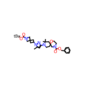 Cc1cc(N2CCC3(CN(C(=O)OCc4ccccc4)CCO3)CC2(C)C)nn1C1CC2(C1)CN(C(=O)OC(C)(C)C)C2